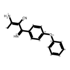 C/C(N)=C(/C#N)C(=N)c1ccc(Oc2ccccc2)cc1